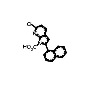 O=C(O)n1c(-c2cccc3ccccc23)cc2ccc(Cl)nc21